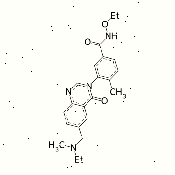 CCONC(=O)c1ccc(C)c(-n2cnc3ccc(CN(C)CC)cc3c2=O)c1